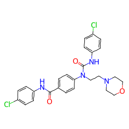 O=C(Nc1ccc(Cl)cc1)c1ccc(N(CCN2CCOCC2)C(=O)Nc2ccc(Cl)cc2)cc1